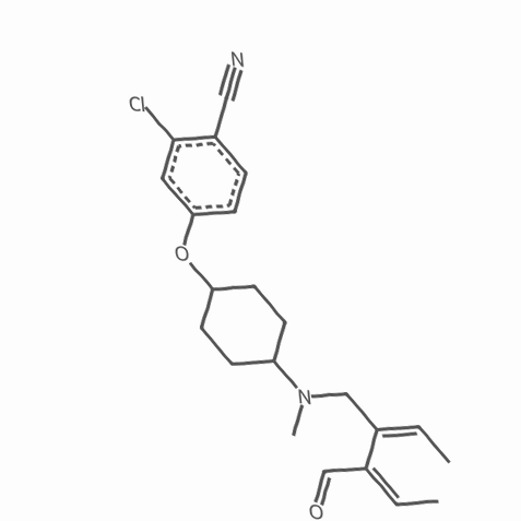 C/C=C(C=O)\C(=C/C)CN(C)C1CCC(Oc2ccc(C#N)c(Cl)c2)CC1